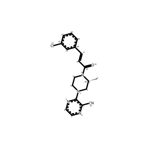 C[C@@H]1CN(c2nccnc2C#N)CCN1C(=O)C=Cc1cccc(Cl)c1